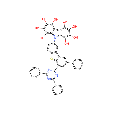 Oc1c(O)c(O)c2c(c1O)c1c(O)c(O)c(O)c(O)c1n2-c1ccc2sc3c(-c4nc(-c5ccccc5)nc(-c5ccccc5)n4)cc(-c4ccccc4)cc3c2c1